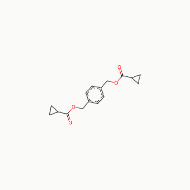 O=C(OCc1ccc(COC(=O)C2CC2)cc1)C1CC1